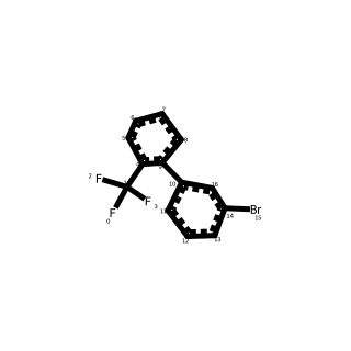 FC(F)(F)c1ccccc1-c1cccc(Br)c1